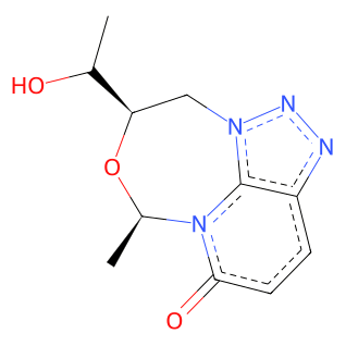 CC(O)[C@H]1Cn2nnc3ccc(=O)n(c32)[C@@H](C)O1